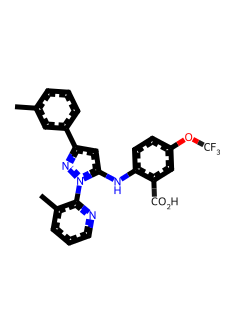 Cc1cccc(-c2cc(Nc3ccc(OC(F)(F)F)cc3C(=O)O)n(-c3ncccc3C)n2)c1